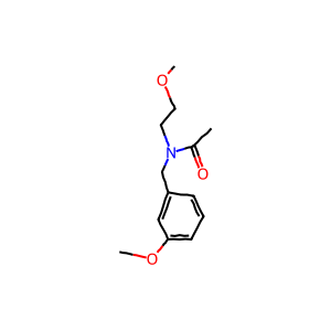 COCCN(Cc1cccc(OC)c1)C(C)=O